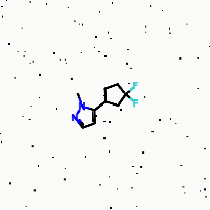 Cn1nccc1C1CCC(F)(F)C1